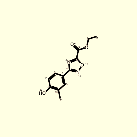 CCOC(=O)c1nc(-c2ccc(O)c(C)c2)no1